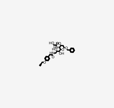 C#CCOc1ccc(CC(=O)NC[C@@H](O)[C@@H](O)[C@@H]2O[C@@H](OCc3ccccc3)C[C@H](O)[C@H]2NC(=O)CO)cc1